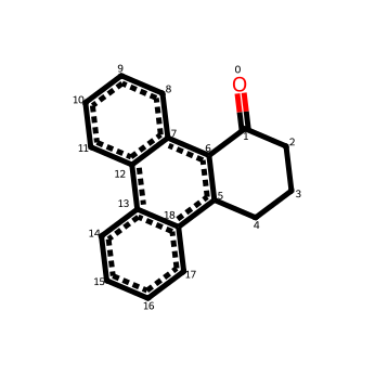 O=C1CCCc2c1c1ccccc1c1ccccc21